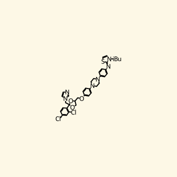 CCC(C)n1ccs/c1=N\c1ccc(N2CCN(c3ccc(OCC4COC(Cn5ccnc5)(c5ccc(Cl)cc5Cl)O4)cc3)CC2)cc1